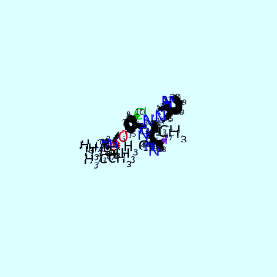 CNC[C@H](COc1ccc(Cl)c(-c2nc(-c3c(I)cnn3C)c(C)c(N3Cc4cccnc4C3)n2)c1)O[Si](C)(C)C(C)(C)C